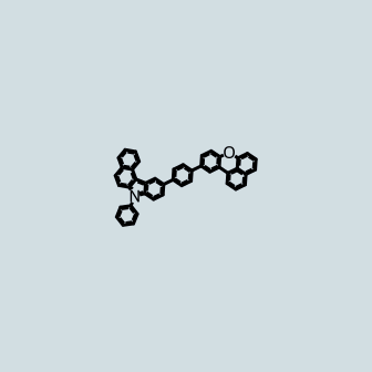 c1ccc(-n2c3ccc(-c4ccc(-c5ccc6c(c5)-c5cccc7cccc(c57)O6)cc4)cc3c3c4ccccc4ccc32)cc1